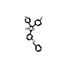 Fc1ccc(-c2nc(-c3cccc(OCc4ccccc4)c3)[nH]c2-c2ccncc2)cc1